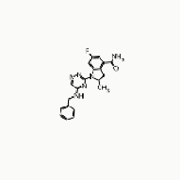 CC1Cc2c(C(N)=O)cc(F)cc2N1c1nncc(NCc2ccccc2)n1